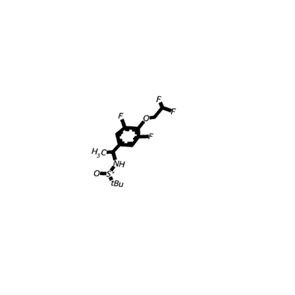 CC(N[S+]([O-])C(C)(C)C)c1cc(F)c(OCC(F)F)c(F)c1